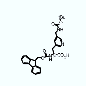 CC(C)(C)OC(=O)NCc1cncc(C[C@H](NC(=O)OCC2c3ccccc3-c3ccccc32)C(=O)O)c1